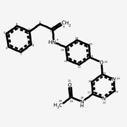 C=C(Cc1ccccc1)Nc1ccc(Oc2cc(NC(C)=O)ncn2)cc1